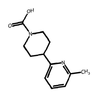 Cc1cccc(C2CCN(C(=O)O)CC2)n1